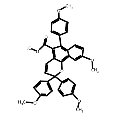 COC(=O)c1c2c(c3cc(OC)ccc3c1-c1ccc(OC)cc1)OC(c1ccc(OC)cc1)(c1ccc(OC)cc1)C=C2